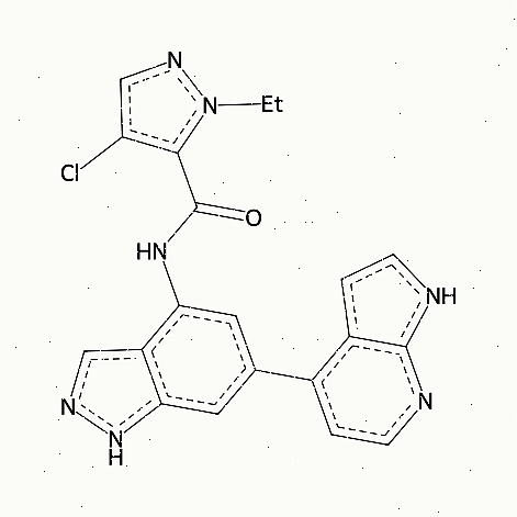 CCn1ncc(Cl)c1C(=O)Nc1cc(-c2ccnc3[nH]ccc23)cc2[nH]ncc12